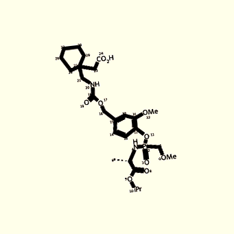 COCP(=O)(N[C@@H](C)C(=O)OC(C)C)Oc1ccc(COC(=O)NCC2(CC(=O)O)CCCCC2)cc1OC